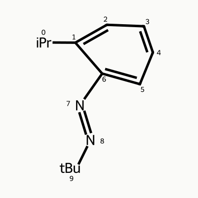 CC(C)c1ccccc1N=NC(C)(C)C